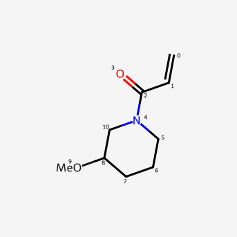 C=CC(=O)N1CCCC(OC)C1